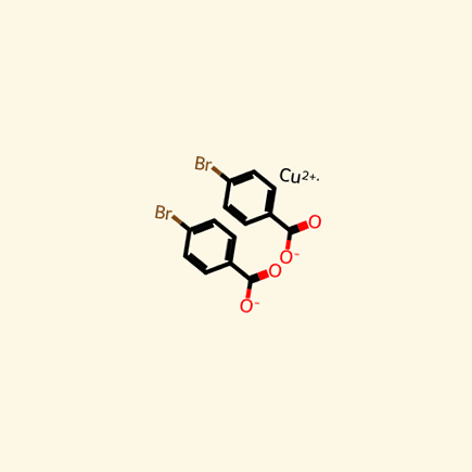 O=C([O-])c1ccc(Br)cc1.O=C([O-])c1ccc(Br)cc1.[Cu+2]